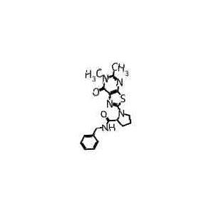 Cc1nc2sc(N3CCCC3C(=O)NCc3ccccc3)nc2c(=O)n1C